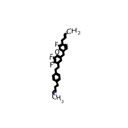 C=CCCc1ccc2c(c1F)Oc1c(cc(CCc3ccc(CC/C=C/C)cc3)c(F)c1F)C2